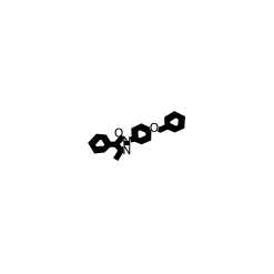 CC1=NN(c2ccc(OCc3ccccc3)cc2)C(=O)C1c1ccccc1